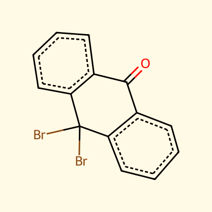 O=C1c2ccccc2C(Br)(Br)c2ccccc21